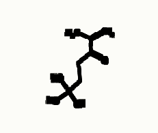 C=C(C)C(=O)CC[Si](O)(O)O